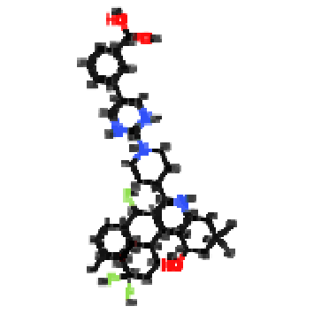 Cc1ccc(C(F)c2c(C3CCN(c4ncc(-c5cccc(C(=O)O)c5)cn4)CC3)nc3c(c2C2CCC(F)(F)CC2)C(O)CC(C)(C)C3)cc1